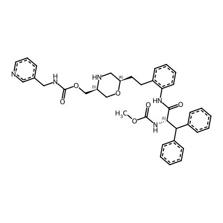 COC(=O)N[C@H](C(=O)Nc1ccccc1CC[C@@H]1CN[C@H](COC(=O)NCc2cccnc2)CO1)C(c1ccccc1)c1ccccc1